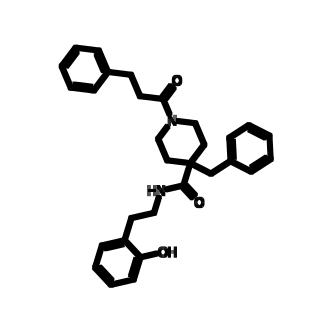 O=C(CCc1ccccc1)N1CCC(Cc2ccccc2)(C(=O)NCCc2ccccc2O)CC1